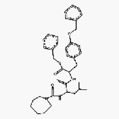 CC(C)CC(NC(=O)N1CCCCCC1)C(=O)NC(Cc1ccc(OCc2ccccc2)cc1)C(=O)OCc1ccccc1